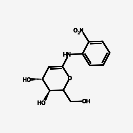 O=[N+]([O-])c1ccccc1NC1=C[C@@H](O)[C@H](O)C(CO)O1